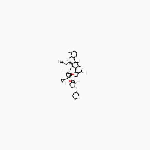 Cc1nc2c(F)c(-c3cccc(Cl)c3Cl)c(CCC#N)cc2c2c1cc([C@H]1[C@H]3C[C@H](C[C@@H]3Oc3cccnc3)N1C(=O)C1CC1)n2[C@H]1[C@@H]2C[C@H]1N(C(=O)OC(C)(C)C)C2